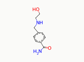 NC(=O)c1ccc(CNCCO)cc1